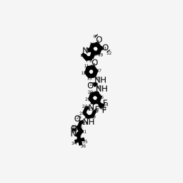 COc1cc2nccc(Oc3cccc(NC(=O)Nc4ccc(N5CCC(NC(=O)c6cc(C(C)(C)C)no6)CC5)c(C(F)(F)F)c4)c3)c2cc1OC